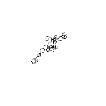 O=C(O)N(O)C(CCN(CC1CCCC1)S(=O)(=O)c1ccc2c(c1)OCO2)Cc1ccc(OCc2ccccn2)cc1